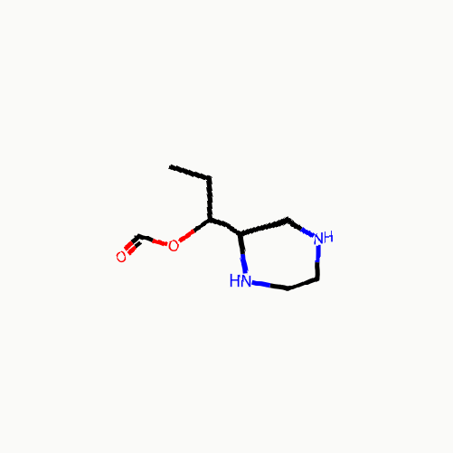 CCC(O[C]=O)C1CNCCN1